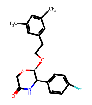 O=C1CO[C@@H](OCCc2cc(C(F)(F)F)cc(C(F)(F)F)c2)[C@@H](c2ccc(F)cc2)N1